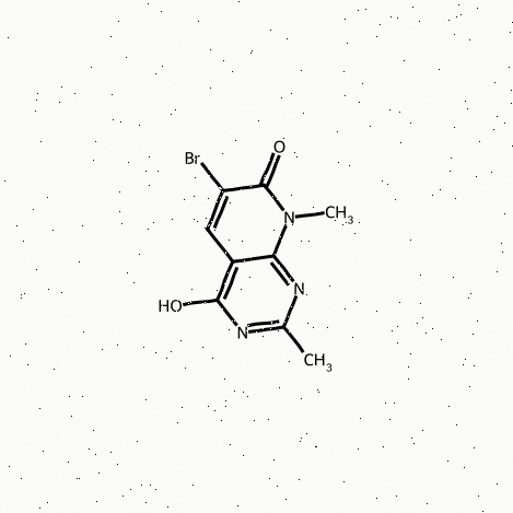 Cc1nc(O)c2cc(Br)c(=O)n(C)c2n1